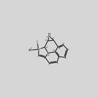 CC(C)[N+]1(I)C=C2C=Cc3cccc4c3N2C1C1NC41